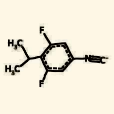 [C-]#[N+]c1cc(F)c(C(C)C)c(F)c1